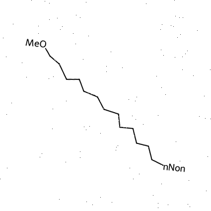 CCCCCCCCCCCCCCCCCCCCCCOC